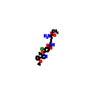 COC(=O)C(N)CCCCNS(=O)(=O)c1ccc(COC2(c3cnccc3-c3ccccc3OC3CC3)CC2)c(Cl)c1